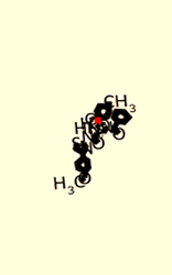 COc1ccc(-c2csc(NC(=O)[C@H](CNC(=O)c3ccccc3)NS(=O)(=O)c3ccc(C)cc3)n2)cc1